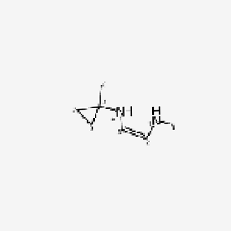 CN/C=C\NC1(C)CC1